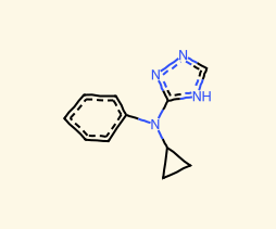 c1ccc(N(c2nnc[nH]2)C2CC2)cc1